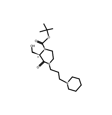 CC(C)(C)OC(=O)N1CCN(CCCN2CCCCC2)C(=O)[C@H]1CO